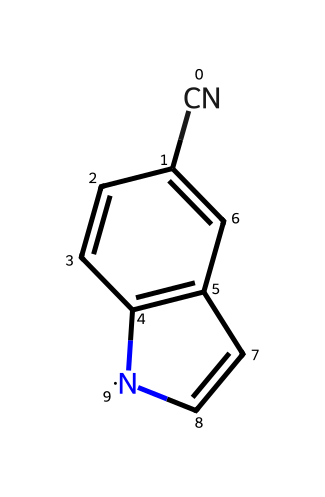 N#Cc1ccc2c(c1)C=C[N]2